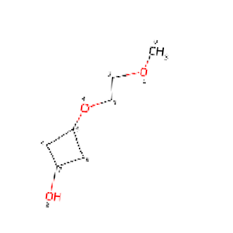 COCCOC1CC(O)C1